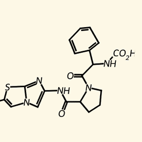 O=C(O)NC(C(=O)N1CCCC1C(=O)Nc1cn2cc(Br)sc2n1)c1ccccc1